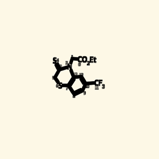 CCOC(=O)CN1C(=S)CSc2ccc(C(F)(F)F)cc21